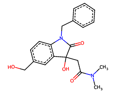 CN(C)C(=O)CC1(O)C(=O)N(Cc2ccccc2)c2ccc(CO)cc21